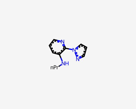 CCCNc1cccnc1-n1cccn1